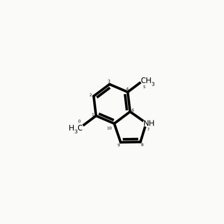 Cc1ccc(C)c2[nH]ccc12